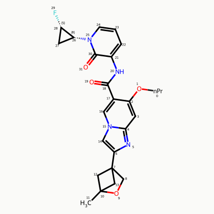 CCCOc1cc2nc(C34COC(C)(C3)C4)cn2cc1C(=O)Nc1cccn([C@@H]2C[C@@H]2F)c1=O